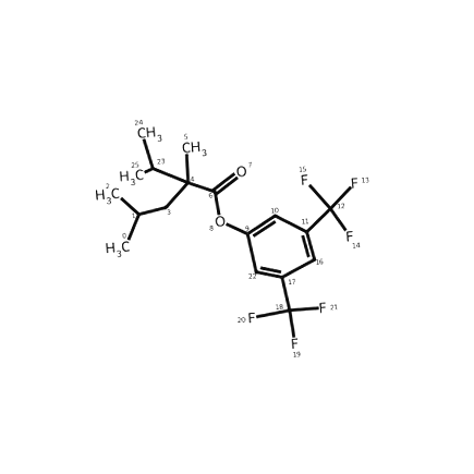 CC(C)CC(C)(C(=O)Oc1cc(C(F)(F)F)cc(C(F)(F)F)c1)C(C)C